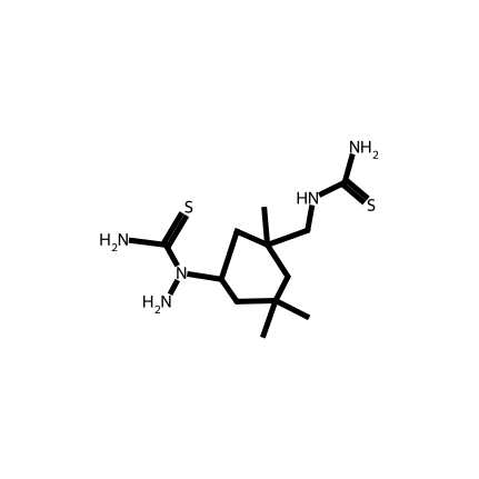 CC1(C)CC(N(N)C(N)=S)CC(C)(CNC(N)=S)C1